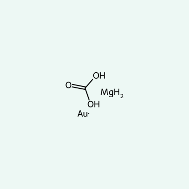 O=C(O)O.[Au].[MgH2]